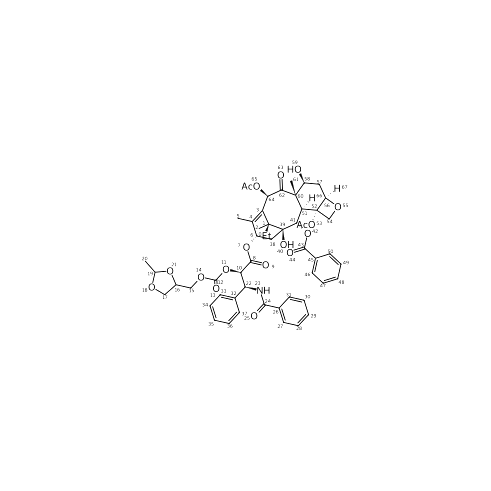 CC[C@@]1(C)C2=C(C)[C@@H](OC(=O)[C@H](OC(=O)OCC3COC(C)O3)[C@@H](NC(=O)c3ccccc3)c3ccccc3)C[C@@]1(O)[C@@H](OC(=O)c1ccccc1)[C@@H]1[C@]3(OC(C)=O)CO[C@@H]3C[C@H](O)[C@@]1(C)C(=O)[C@@H]2OC(C)=O